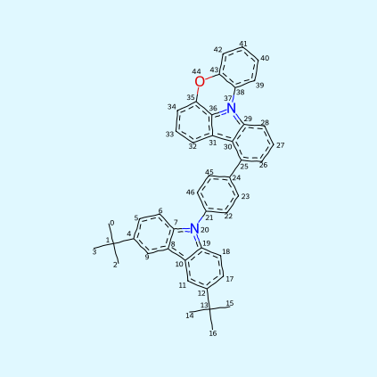 CC(C)(C)c1ccc2c(c1)c1cc(C(C)(C)C)ccc1n2-c1ccc(-c2cccc3c2c2cccc4c2n3-c2ccccc2O4)cc1